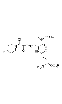 CC1CCN(C(=O)C(=O)CSCC(NC(=O)CCC(N)C(=O)O)C(=O)N(C)C(=O)O)CC1